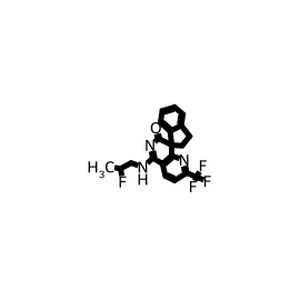 CC(F)CNC1=NC(=O)C2(CCc3ccccc32)c2nc(C(F)(F)F)ccc21